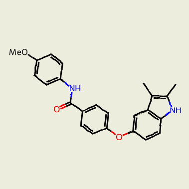 COc1ccc(NC(=O)c2ccc(Oc3ccc4[nH]c(C)c(C)c4c3)cc2)cc1